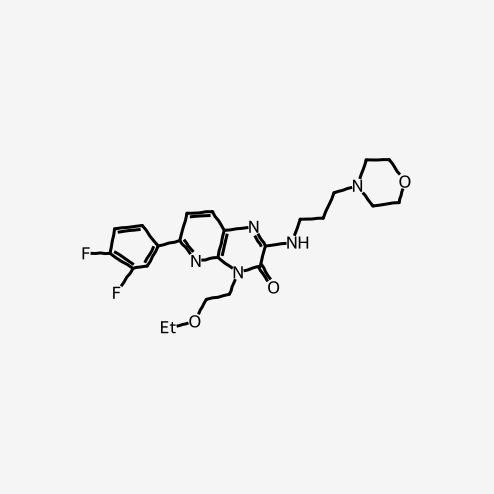 CCOCCn1c(=O)c(NCCCN2CCOCC2)nc2ccc(-c3ccc(F)c(F)c3)nc21